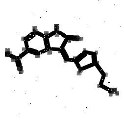 CCCc1ccc(C=C2C(=O)Nc3ncc([N+](=O)[O-])cc32)s1